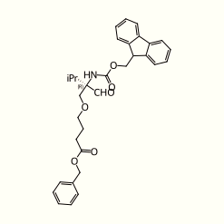 CC(C)[C@](C=O)(COCCCC(=O)OCc1ccccc1)NC(=O)OCC1c2ccccc2-c2ccccc21